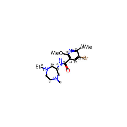 CCN1CCN(C)CC(NC(=O)c2cc(Br)c(NC)nc2OC)C1